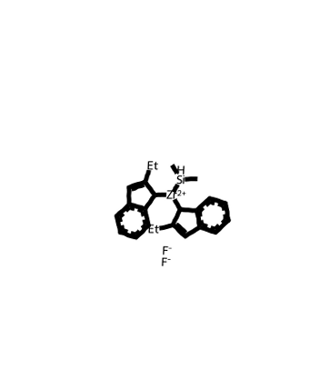 CCC1=Cc2ccccc2[CH]1[Zr+2]([CH]1C(CC)=Cc2ccccc21)[SiH](C)C.[F-].[F-]